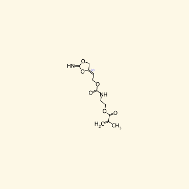 C=C(C)C(=O)OCCNC(=O)OC/C=C1/COC(=N)O1